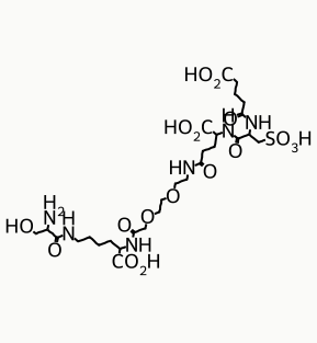 NC(CO)C(=O)NCCCCC(NC(=O)COCCOCCNC(=O)CCC(NC(=O)C(CS(=O)(=O)O)NC(=O)CCCC(=O)O)C(=O)O)C(=O)O